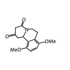 COc1ccc(OC)c2c1CCN1C(=O)CC(=O)CC21